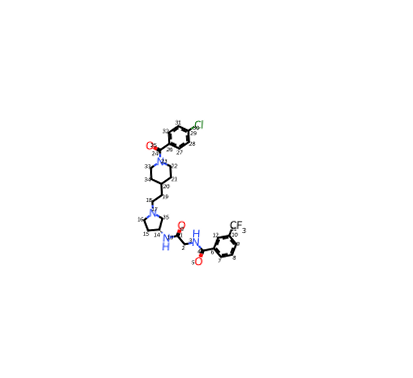 O=C(CNC(=O)c1cccc(C(F)(F)F)c1)N[C@@H]1CCN(CCC2CCN(C(=O)c3ccc(Cl)cc3)CC2)C1